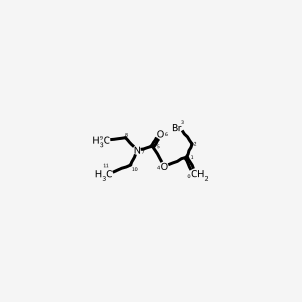 C=C(CBr)OC(=O)N(CC)CC